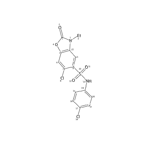 CCn1c(=O)oc2cc(Cl)c(S(=O)(=O)Nc3ccc(Cl)cc3)cc21